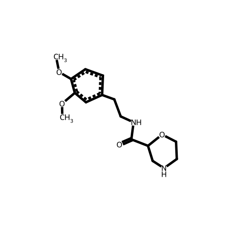 COc1ccc(CCNC(=O)C2CNCCO2)cc1OC